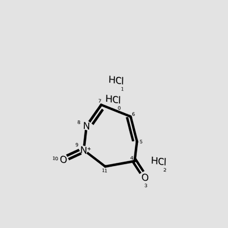 Cl.Cl.Cl.O=C1C=CC=N[N+](=O)C1